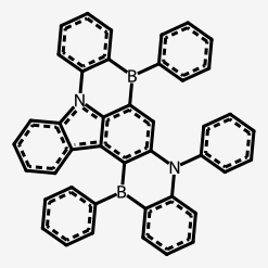 c1ccc(B2c3ccccc3N(c3ccccc3)c3cc4c5c(c32)c2ccccc2n5-c2ccccc2B4c2ccccc2)cc1